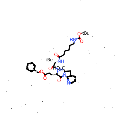 CC[C@H](C)[C@H](NC(=O)CCCCCNC(=O)OC(C)(C)C)C(=O)N[C@@H](CCC(=O)OCc1ccccc1)C(=O)N1c2ncccc2CC1C(=O)O